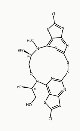 CCC[C@@H]1CON([C@@H](CO)CCC)c2nc(nc3nc(Cl)sc23)SSc2nc(c3sc(Cl)nc3n2)N1C